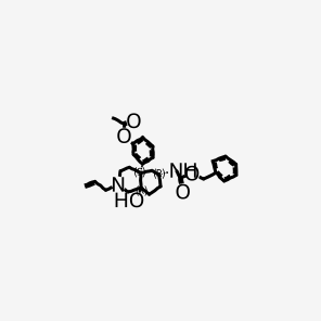 C=CCN1CC[C@@]2(c3cccc(OC(C)=O)c3)C[C@H](NC(=O)OCc3ccccc3)CC[C@]2(O)C1